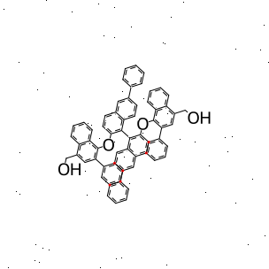 OCc1cc(-c2ccccc2)c(Oc2ccc3cc(-c4ccccc4)ccc3c2-c2c(Oc3c(-c4ccccc4)cc(CO)c4ccccc34)ccc3cc(-c4ccccc4)ccc23)c2ccccc12